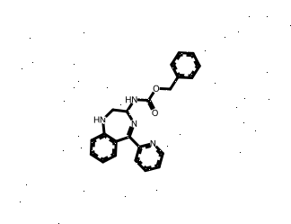 O=C(NC1CNc2ccccc2C(c2ccccn2)=N1)OCc1ccccc1